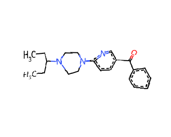 CCC(CC)N1CCN(c2ccc(C(=O)c3ccccc3)cn2)CC1